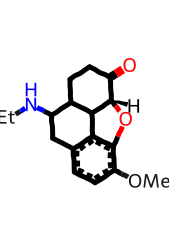 CCNC1Cc2ccc(OC)c3c2C2C1CCC(=O)[C@@H]2O3